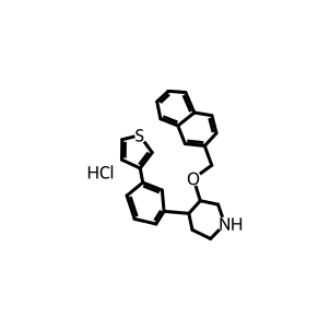 Cl.c1cc(-c2ccsc2)cc(C2CCNCC2OCc2ccc3ccccc3c2)c1